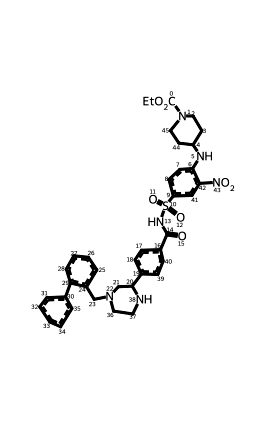 CCOC(=O)N1CCC(Nc2ccc(S(=O)(=O)NC(=O)c3ccc(C4CN(Cc5ccccc5-c5ccccc5)CCN4)cc3)cc2[N+](=O)[O-])CC1